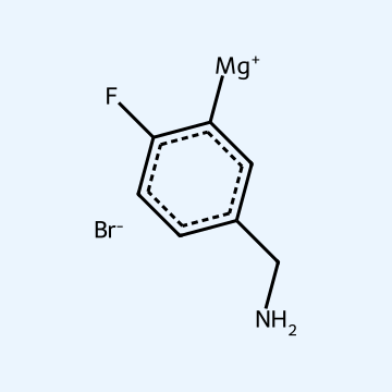 NCc1ccc(F)[c]([Mg+])c1.[Br-]